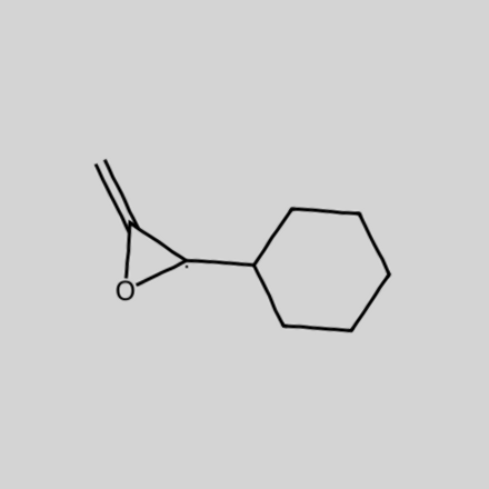 C=C1O[C]1C1CCCCC1